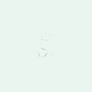 Nc1cc(F)nc(OC2CCN(CI)C2)n1